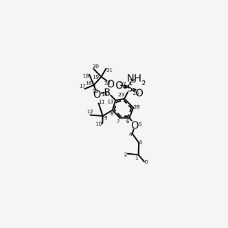 CC(C)CCOc1cc(C(C)(C)C)c(B2OC(C)(C)C(C)(C)O2)c(S(N)(=O)=O)c1